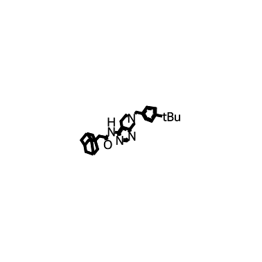 CC(C)(C)c1ccc(CN2CCc3c(ncnc3NC(=O)CC34CC5CC(CC(C5)C3)C4)C2)cc1